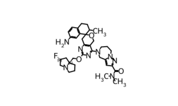 CC1CCc2ccc(N)cc2C12Cc1nc(OC[C@@]34CCCN3C[C@H](F)C4)nc(N3CCCn4nc(C(=O)N(C)C)cc4C3)c1CO2